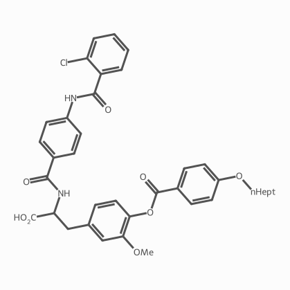 CCCCCCCOc1ccc(C(=O)Oc2ccc(CC(NC(=O)c3ccc(NC(=O)c4ccccc4Cl)cc3)C(=O)O)cc2OC)cc1